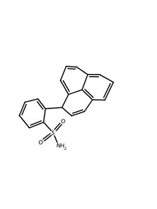 NS(=O)(=O)c1ccccc1C1C=Cc2cccc3cccc1c23